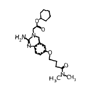 CN(C)C(=O)CCCOc1ccc2c(c1)CN(CC(=O)OC1CCCCC1)C(N)=N2